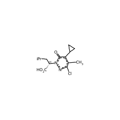 Cc1c(Cl)nn([C@@H](CC(C)C)C(=O)O)c(=O)c1C1CC1